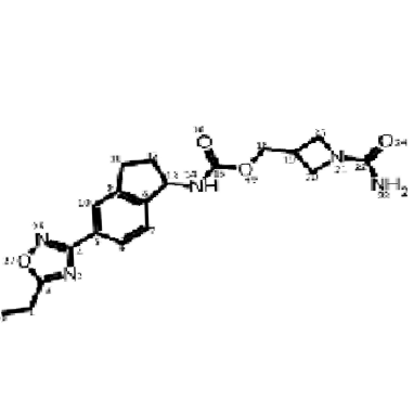 CCc1nc(-c2ccc3c(c2)CC[C@H]3NC(=O)OCC2CN(C(N)=O)C2)no1